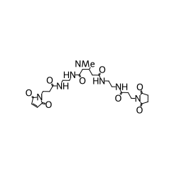 CNC(CC(=O)NCCNC(=O)CCN1C(=O)C=CC1=O)CC(=O)NCCNC(=O)CCN1C(=O)CCC1=O